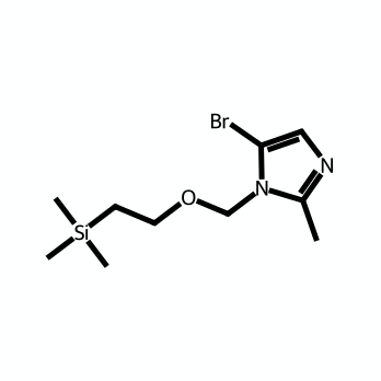 Cc1ncc(Br)n1COCC[Si](C)(C)C